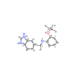 CC(=Nc1ccccc1O[Si](C)(C)C)c1ccc2nc[nH]c2c1